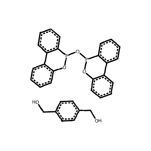 OCc1ccc(CO)cc1.c1ccc2c(c1)OP(OP1Oc3ccccc3-c3ccccc31)c1ccccc1-2